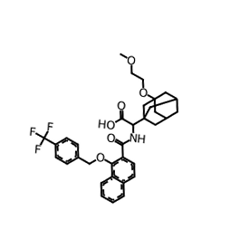 COCCOC12CC3CC(C1)CC(C(NC(=O)c1ccc4ccccc4c1OCc1ccc(C(F)(F)F)cc1)C(=O)O)(C3)C2